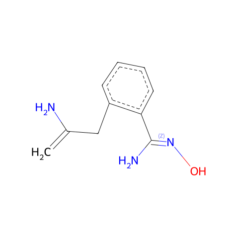 C=C(N)Cc1ccccc1/C(N)=N/O